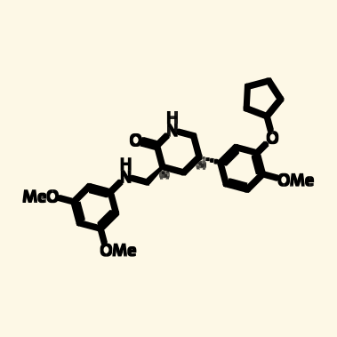 COc1cc(NC[C@@H]2C[C@@H](c3ccc(OC)c(OC4CCCC4)c3)CNC2=O)cc(OC)c1